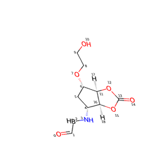 O=CBN[C@@H]1C[C@H](OCCO)[C@H]2OC(=O)O[C@H]21